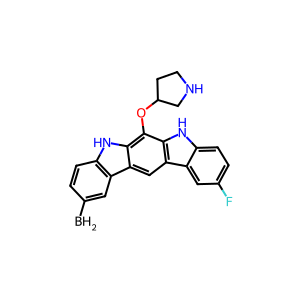 Bc1ccc2[nH]c3c(OC4CCNC4)c4[nH]c5ccc(F)cc5c4cc3c2c1